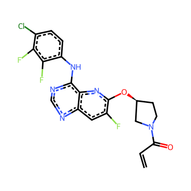 C=CC(=O)N1CC[C@H](Oc2nc3c(Nc4ccc(Cl)c(F)c4F)ncnc3cc2F)C1